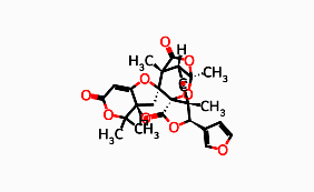 CC1(C)OC(=O)C=C2O[C@]3(C[C@@H]21)[C@@]12O[C@]4(C)OC(=O)[C@]3(C)[C@H]4CC[C@]1(C)[C@@H](c1ccoc1)OC2=O